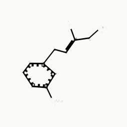 COc1cccc(CC=C(F)CO)c1